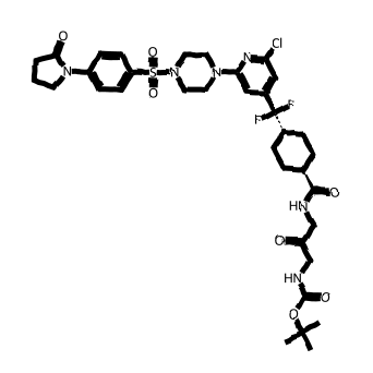 CC(C)(C)OC(=O)NCC(=O)CNC(=O)[C@H]1CC[C@H](C(F)(F)c2cc(Cl)nc(N3CCN(S(=O)(=O)c4ccc(N5CCCC5=O)cc4)CC3)c2)CC1